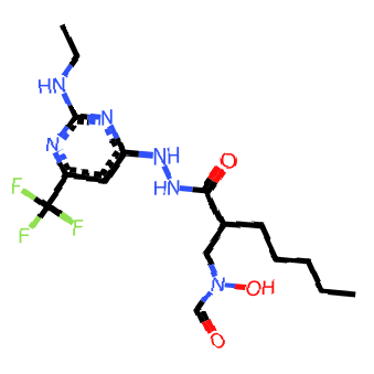 CCCCCC(CN(O)C=O)C(=O)NNc1cc(C(F)(F)F)nc(NCC)n1